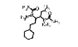 CCC(C(CCC1CCCCC1)N(N)C(N)=O)N(N)C(N)=O